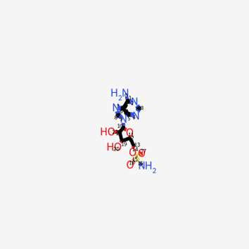 Nc1ncnc2c1ncn2C1OC(COS(N)(=O)=O)C(O)C1O